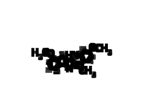 COc1ccc(OC)c(Nc2[nH]nc3c2Cc2c(OC)cccc2-3)c1